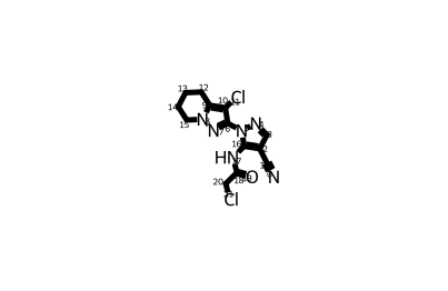 N#Cc1cnn(-c2nn3c(c2Cl)CCCC3)c1NC(=O)CCl